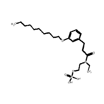 CCCCCCCCCCOc1cccc(CCC(=O)N(CC)CCOP(=O)(O)O)c1